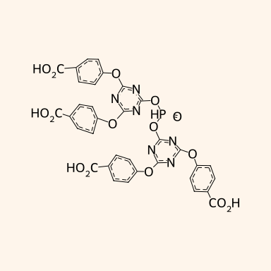 O=C(O)c1ccc(Oc2nc(Oc3ccc(C(=O)O)cc3)nc(O[PH](=O)Oc3nc(Oc4ccc(C(=O)O)cc4)nc(Oc4ccc(C(=O)O)cc4)n3)n2)cc1